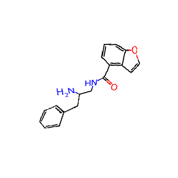 NC(CNC(=O)c1cccc2occc12)Cc1ccccc1